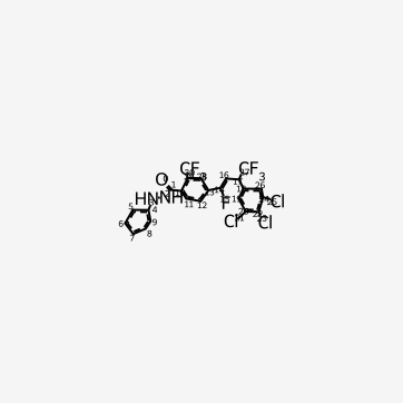 O=C(NNc1ccccc1)c1ccc(/C(F)=C/C(c2cc(Cl)c(Cl)c(Cl)c2)C(F)(F)F)cc1C(F)(F)F